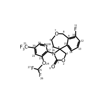 O=C1OCC2(CCOCc3c(F)cccc32)N1c1ncc(C(F)(F)F)cc1OC(F)F